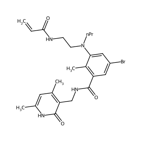 C=CC(=O)NCCN(CCC)c1cc(Br)cc(C(=O)NCc2c(C)cc(C)[nH]c2=O)c1C